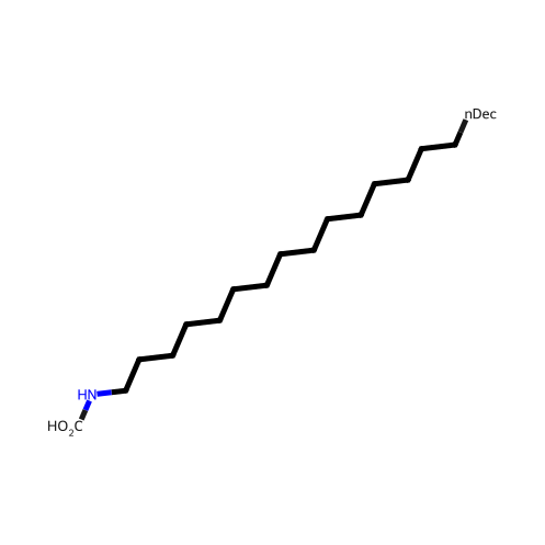 CCCCCCCCCCCCCCCCCCCCCCCCCNC(=O)O